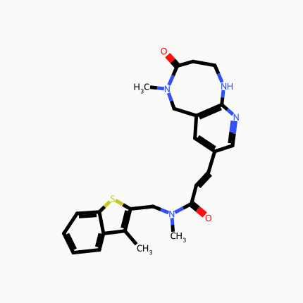 Cc1c(CN(C)C(=O)C=Cc2cnc3c(c2)CN(C)C(=O)CCN3)sc2ccccc12